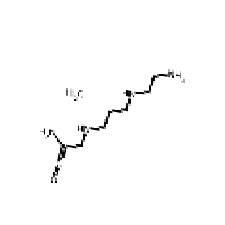 NCCNCCCNCC(N)=C=O.O